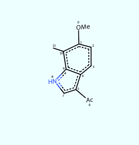 COc1ccc2c(C(C)=O)c[nH]c2c1C